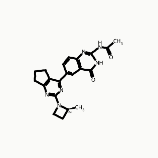 CC(=O)Nc1nc2ccc(-c3nc(N4CC[C@@H]4C)nc4c3CCC4)cc2c(=O)[nH]1